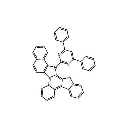 c1ccc(-c2cc(-c3ccccc3)nc(-n3c4c5ccccc5ccc4c4c5ccccc5c5c6ccccc6sc5c43)n2)cc1